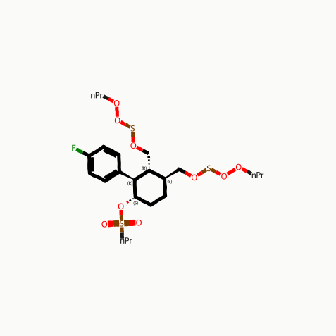 CCCOOSOC[C@H]1CC[C@H](OS(=O)(=O)CCC)[C@@H](c2ccc(F)cc2)[C@@H]1COSOOCCC